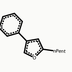 [CH2]CCCCc1cc(-c2ccccc2)co1